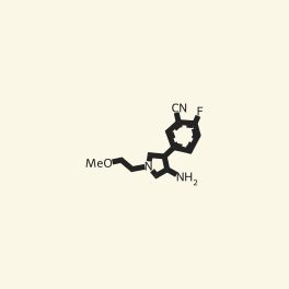 COCCN1CC(N)C(c2ccc(F)c(C#N)c2)C1